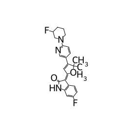 CC1(C)O/C(=C2/C(=O)Nc3cc(F)ccc32)C=C1c1ccc(N2CCCC(F)C2)nc1